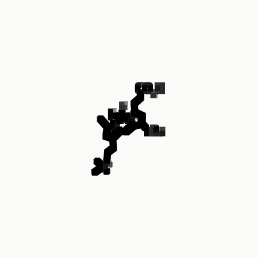 CCCCC1=CC(CCC(=O)O)=[N+]2C1=Cc1c(CCC[N+](C)(C)C)cc(C)n1[B-]2(F)F